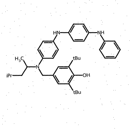 CC(C)CC(C)N(Cc1cc(C(C)(C)C)c(O)c(C(C)(C)C)c1)c1ccc(Nc2ccc(Nc3ccccc3)cc2)cc1